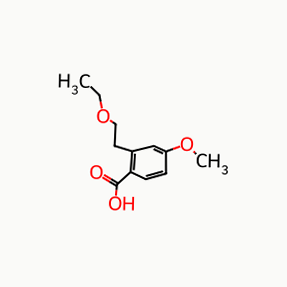 CCOCCc1cc(OC)ccc1C(=O)O